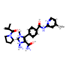 C=C(C)C(=O)N1CCC[C@H]1C1N(C)C(c2ccc(C(=O)Nc3cc(OC)ccn3)cc2)=C(C(N)=O)N1N